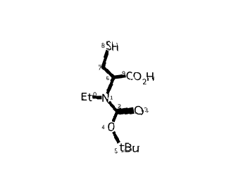 CCN(C(=O)OC(C)(C)C)C(CS)C(=O)O